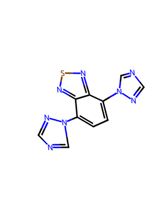 c1ncn(-c2ccc(-n3cncn3)c3nsnc23)n1